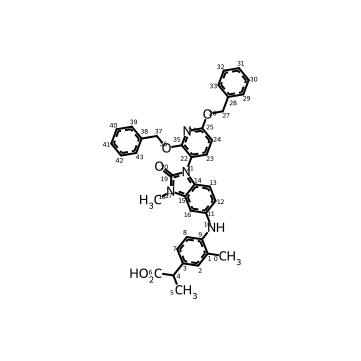 Cc1cc(C(C)C(=O)O)ccc1Nc1ccc2c(c1)n(C)c(=O)n2-c1ccc(OCc2ccccc2)nc1OCc1ccccc1